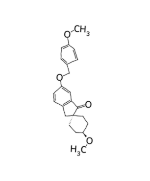 COc1ccc(COc2ccc3c(c2)C(=O)[C@]2(CC[C@H](OC)CC2)C3)cc1